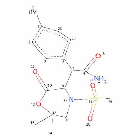 CC(C)c1ccc(C(C(N)=O)C2C(=O)OC(C)(C)CN2S(C)(=O)=O)cc1